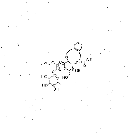 CCCC[C@@H](O[C@@H]1OC(CO)[C@H](O)C2O[C@@H](C(=O)O)Cc3ccccc3CCOC21)[C@@H](CC)O[C@@H]1OC(C)[C@@H](O)C(O)[C@@H]1O